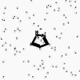 [C]1=CC=[As]N1